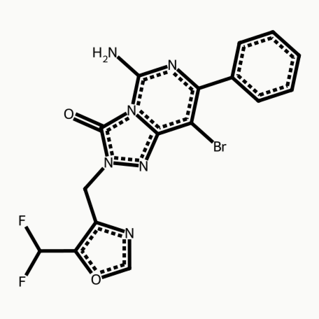 Nc1nc(-c2ccccc2)c(Br)c2nn(Cc3ncoc3C(F)F)c(=O)n12